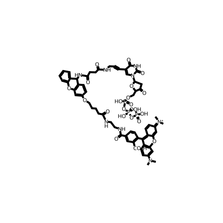 CN(C)c1ccc2c(-c3ccc(C(=O)NCCNC(=O)CCCCOc4ccc5c(c4)Oc4ccccc4C5NC(=O)CCC(=O)NCC#Cc4cn(C5CC(=O)C(COP(=O)(O)OP(=O)(O)OP(=O)(O)O)O5)c(=O)[nH]c4=O)cc3C(=O)O)c3ccc(=[N+](C)C)cc-3oc2c1